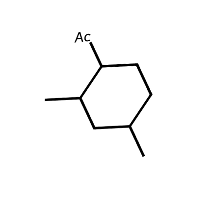 CC(=O)C1CCC(C)CC1C